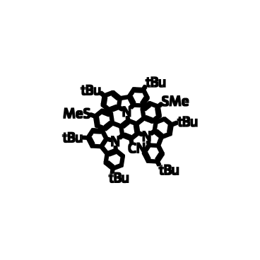 CSc1ccc(-c2c(N3C4=C(C=C(C(C)(C)C)CC4)C4C=C(C(C)(C)C)C=CC43)c(C#N)c(N3C4=C(C=C(C(C)(C)C)CC4)C4C=C(C(C)(C)C)C=CC43)c(-c3ccc(SC)cc3)c2-n2c3ccc(C(C)(C)C)cc3c3cc(C(C)(C)C)ccc32)cc1